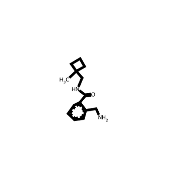 CC1(CNC(=O)c2ccccc2CN)CCC1